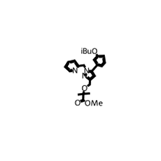 COC(=O)C(C)(C)OCc1cc(-c2cccc(OCC(C)C)c2)n(Cc2ccccn2)n1